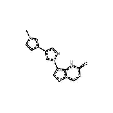 Cn1ccc(-c2cnn(-c3cnn4ccc(=O)[nH]c34)c2)c1